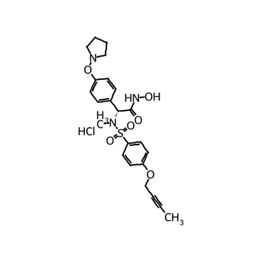 CC#CCOc1ccc(S(=O)(=O)N(C)[C@@H](C(=O)NO)c2ccc(ON3CCCC3)cc2)cc1.Cl